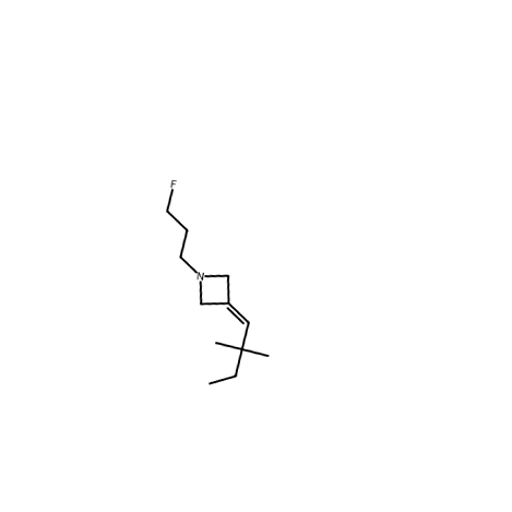 CCC(C)(C)C=C1CN(CCCF)C1